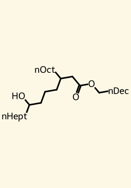 CCCCCCCCCCCOC(=O)CC(CCCCCCCC)CCCC(O)CCCCCCC